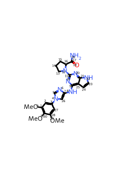 COc1cc(-n2cnc(Nc3nc(N4CCCC4C(N)=O)nc4[nH]ccc34)c2)cc(OC)c1OC